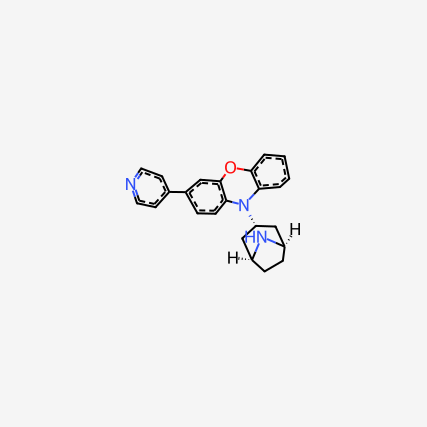 c1ccc2c(c1)Oc1cc(-c3ccncc3)ccc1N2[C@@H]1C[C@H]2CC[C@@H](C1)N2